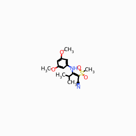 COc1cc(N/C(=C(/C#N)S(C)(=O)=O)C(C)C)cc(OC)c1